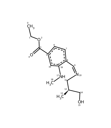 CCOC(=O)c1ccc(/C=N\C[C@H](C)CO)c(NC)c1